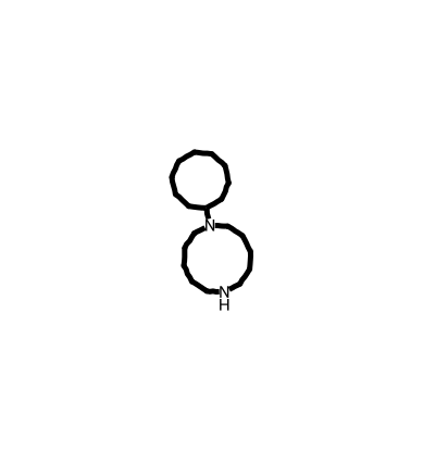 C1CCCCC(N2CCCCCNCCCCC2)CCCC1